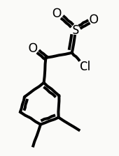 Cc1ccc(C(=O)C(Cl)=S(=O)=O)cc1C